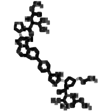 COC[C@H]1C[C@@H](c2ncc(-c3ccc(-c4ccc5c(ccc6nc([C@@H]7CCCN7C(=O)[C@@H](NC(=O)OC)C(C)C)[nH]c65)c4)cc3)[nH]2)N(C(=O)C(NC(=O)OC)C(C)C)C1